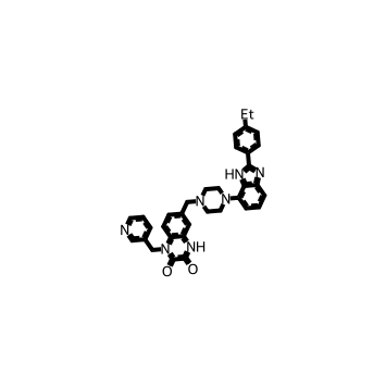 CCc1ccc(-c2nc3cccc(N4CCN(Cc5ccc6c(c5)[nH]c(=O)c(=O)n6Cc5cccnc5)CC4)c3[nH]2)cc1